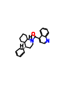 O=C(c1ccnc2ccccc12)N1CC[C@H](c2ccccc2)[C@H]2CCCC[C@H]21